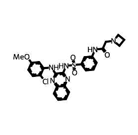 COc1ccc(Cl)c(Nc2nc3ccccc3nc2NS(=O)(=O)c2cccc(NC(=O)CN3CCC3)c2)c1